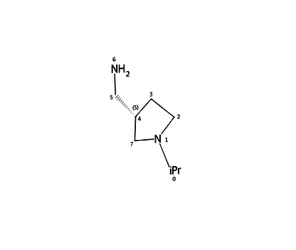 CC(C)N1CC[C@@H](CN)C1